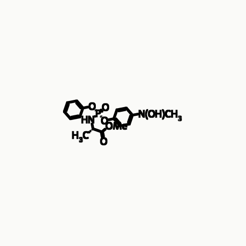 COC(=O)[C@H](C)N[P@@](=O)(Oc1ccccc1)Oc1ccc(N(C)O)cc1